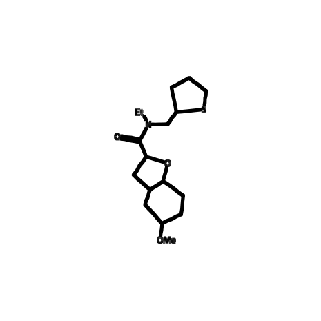 CCN(CC1CCCS1)C(=O)C1CC2CC(OC)CCC2O1